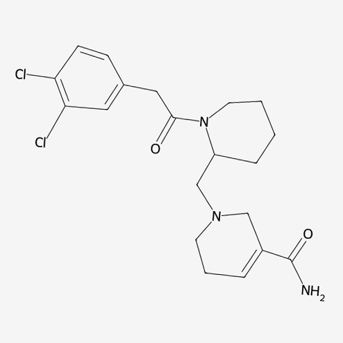 NC(=O)C1=CCCN(CC2CCCCN2C(=O)Cc2ccc(Cl)c(Cl)c2)C1